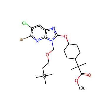 CC(C)(C)OC(=O)C(C)(C)C1CCC(Oc2nc3cc(Cl)c(Br)nc3n2COCC[Si](C)(C)C)CC1